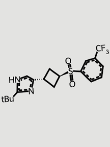 CC(C)(C)c1nc([C@H]2C[C@H](S(=O)(=O)c3cccc(C(F)(F)F)c3)C2)c[nH]1